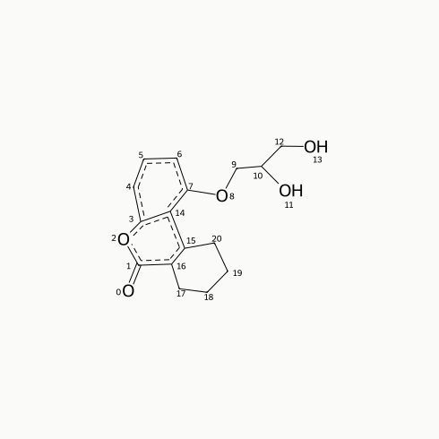 O=c1oc2cccc(OCC(O)CO)c2c2c1CCCC2